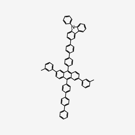 Cc1cccc(-c2ccc3c(-c4ccc(-c5ccc(-c6ccc7c(c6)c6ccccc6n7-c6ccccc6)cc5)cc4)c4cc(-c5cccc(C)c5)ccc4c(-c4ccc(-c5ccc(-c6ccccc6)cc5)cc4)c3c2)c1